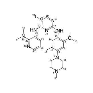 COc1cc(N2CCN(C)CC2)c(C)cc1Nc1ncc(I)c(Nc2cccnc2N(C)C)n1